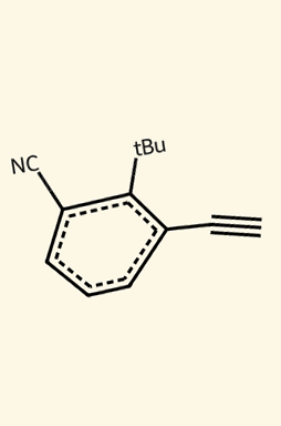 C#Cc1cccc(C#N)c1C(C)(C)C